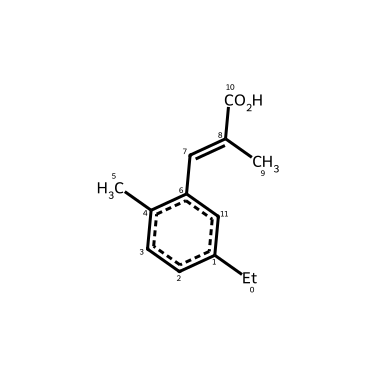 CCc1ccc(C)c(/C=C(\C)C(=O)O)c1